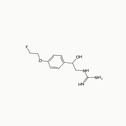 N=C(N)NCC(O)c1ccc(OCCF)cc1